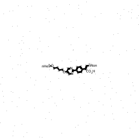 CCCCCCCCCC=C(C(=O)O)c1ccc(-c2ncc(OCCCCOCCCCCC)cn2)cc1